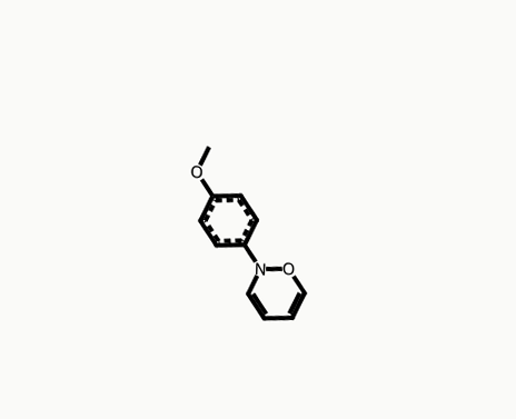 COc1ccc(N2C=CC=CO2)cc1